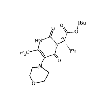 Cc1[nH]c(=O)n([C@H](C(=O)OC(C)(C)C)C(C)C)c(=O)c1N1CCOCC1